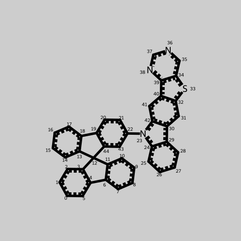 c1ccc2c(c1)-c1ccccc1C21c2ccccc2-c2ccc(-n3c4ccccc4c4cc5sc6cncnc6c5cc43)cc21